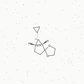 C1COC2(CC[C@@H]3[C@H](C4CC4)[C@@H]32)O1